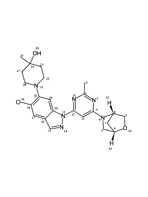 Cc1nc(N2C[C@@H]3C[C@H]2CO3)cc(-n2ncc3cc(Cl)c(N4CCC(C)(O)CC4)cc32)n1